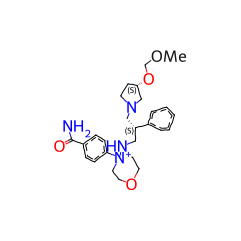 COCO[C@H]1CCN(C[C@@H](CN[N+]2(c3ccc(C(N)=O)cc3)CCOCC2)c2ccccc2)C1